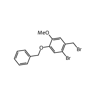 COc1cc(CBr)c(Br)cc1OCc1ccccc1